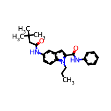 CCCn1c(C(=O)Nc2ccccc2)cc2cc(NC(=O)CC(C)(C)C)ccc21